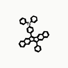 C1=CC(N(c2ccccc2)c2ccc(C3=C4C(=C(c5ccccc5)c5cc6ccccc6cc54)c4cc5ccccc5cc43)cc2)=CCC1